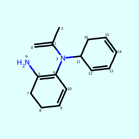 C=C(C)N(C1=C(N)CCC=C1)C1C=CC=CC1